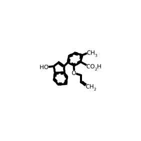 C=CCOc1c(C2=CC(O)c3ccccc32)ccc(C)c1C(=O)O